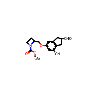 CC(C)(C)OC(=O)N1CCC1COc1cc(C#N)c2c(c1)CC(C=O)C2